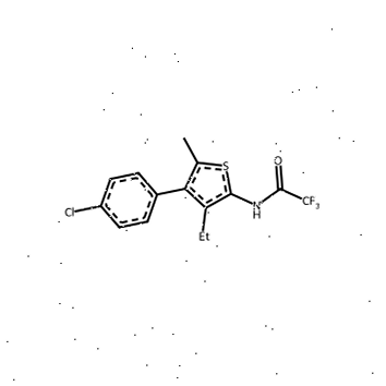 CCc1c(NC(=O)C(F)(F)F)sc(C)c1-c1ccc(Cl)cc1